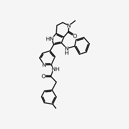 Cc1cccc(CC(=O)Nc2cc(-c3[nH]c4c(c3Nc3ccccc3)C(=O)N(C)CC4)ccn2)c1